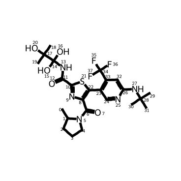 CC1CCCN1C(=O)c1nc(C(=O)NC(O)(O)C(C)(C)O)sc1-c1cnc(NC(C)(C)C)cc1C(F)(F)F